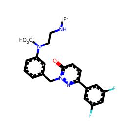 CC(C)NCCN(C(=O)O)c1cccc(Cn2nc(-c3cc(F)cc(F)c3)ccc2=O)c1